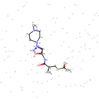 CC(=O)SC[C@@H](C)C(=O)[N-]c1c[n+](N2CCN(C)CC2)no1